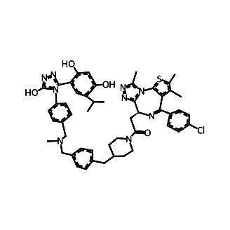 Cc1sc2c(c1C)C(c1ccc(Cl)cc1)=N[C@@H](CC(=O)N1CCC(Cc3ccc(CN(C)Cc4ccc(-n5c(O)nnc5-c5cc(C(C)C)c(O)cc5O)cc4)cc3)CC1)c1nnc(C)n1-2